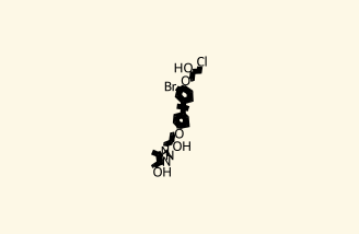 Cc1c(CO)nnn1CC(O)COc1ccc(C(C)(C)c2ccc(OCC(O)CCl)c(Br)c2)cc1